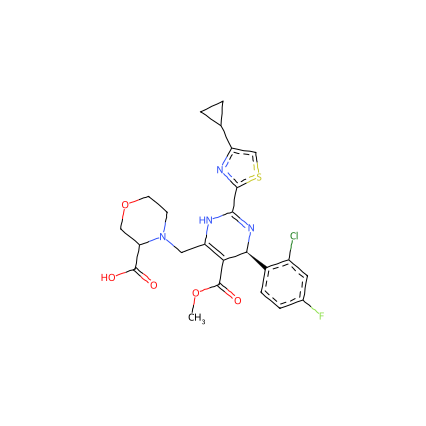 COC(=O)C1=C(CN2CCOCC2C(=O)O)NC(c2nc(C3CC3)cs2)=N[C@H]1c1ccc(F)cc1Cl